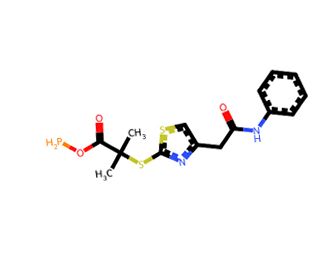 CC(C)(Sc1nc(CC(=O)Nc2ccccc2)cs1)C(=O)OP